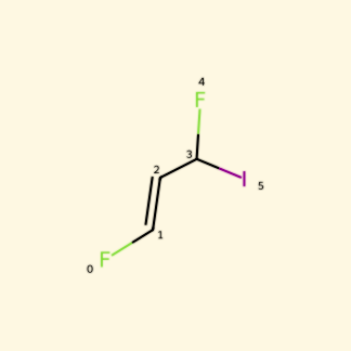 FC=CC(F)I